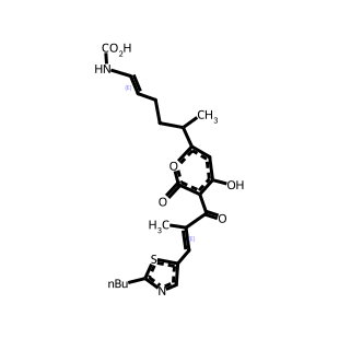 CCCCc1ncc(/C=C(\C)C(=O)c2c(O)cc(C(C)CC/C=C/NC(=O)O)oc2=O)s1